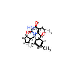 CCc1c(C(=O)c2cc(C)cc(C)c2)n(CC2CCCC2)c(=O)[nH]c1=O